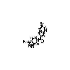 O=C(c1cc2ncc(Br)cn2n1)N1CCn2c(Br)nnc2C1